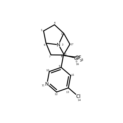 FC(F)(F)CN1C2CCC1CC(c1cncc(Cl)c1)(C(F)(F)F)C2